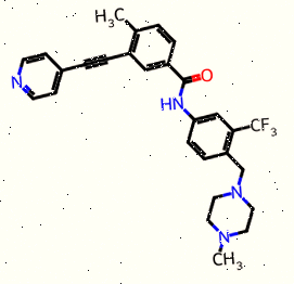 Cc1ccc(C(=O)Nc2ccc(CN3CCN(C)CC3)c(C(F)(F)F)c2)cc1C#Cc1ccncc1